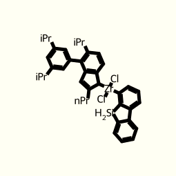 CCCC1=Cc2c(ccc(C(C)C)c2-c2cc(C(C)C)cc(C(C)C)c2)[CH]1[Zr]([Cl])([Cl])[c]1cccc2c1[SiH2]c1ccccc1-2